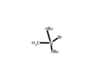 CCCC[Si](C)(Br)CCCC